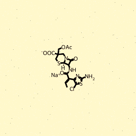 CC=C(C(=O)NC1C(=O)N2CC(COC(C)=O)(C(=O)[O-])CS[C@H]12)c1nc(N)sc1Cl.[Na+]